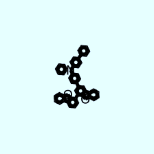 c1ccc(-c2ccc(N(c3ccccc3)c3ccc(-c4cc(-c5cccc6c5oc5ccccc56)c5oc6ccccc6c5c4)cc3)cc2)cc1